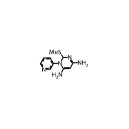 CSC1N=C(N)C=C(N)N1c1cccnc1